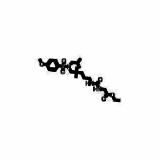 CCOC(=O)CNC(=O)NCCCC(C)(C)CN(CC(C)C)S(=O)(=O)c1ccc(OC)cc1